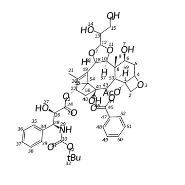 CC(=O)O[C@@]12COC1C[C@H](O)[C@@]1(C)[C@@H]3OC(C(O)CO)O[C@@H]3C3=C(C)[C@@H](OC(=O)[C@H](O)[C@@H](NC(=O)OC(C)(C)C)c4ccccc4)C[C@@](O)([C@@H](OC(=O)c4ccccc4)[C@@H]12)C3(C)C